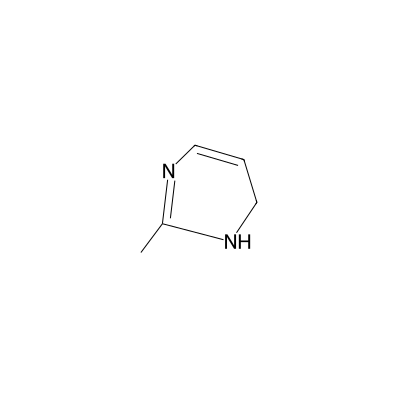 CC1=NC=CCN1